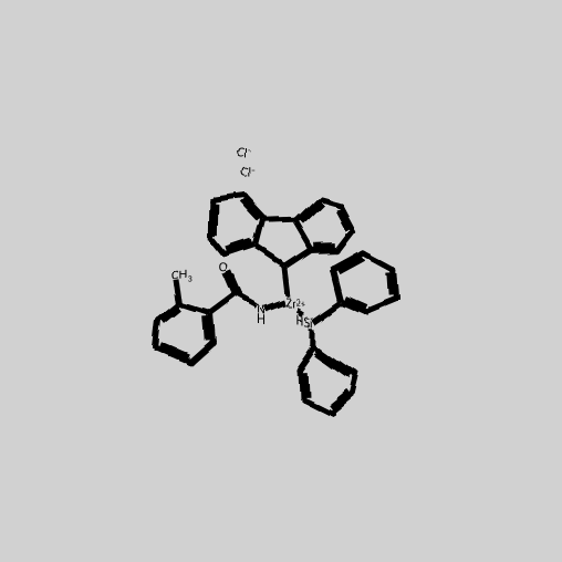 Cc1ccccc1C(=O)[NH][Zr+2]([CH]1c2ccccc2-c2ccccc21)[SiH](c1ccccc1)c1ccccc1.[Cl-].[Cl-]